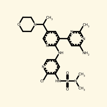 Cc1nc(N)cc(-c2cc(C(C)N3CCOCC3)cnc2Nc2cnc(Cl)c(NS(=O)(=O)N(C)C)c2)n1